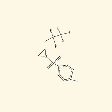 Cc1ccc(S(=O)(=O)N2CC2CC(F)(F)C(F)(F)F)cc1